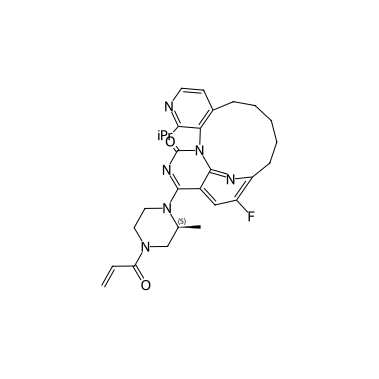 C=CC(=O)N1CCN(c2nc(=O)n3c4nc(c(F)cc24)CCCCCc2ccnc(C(C)C)c2-3)[C@@H](C)C1